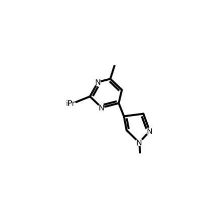 Cc1cc(-c2cnn(C)c2)nc(C(C)C)n1